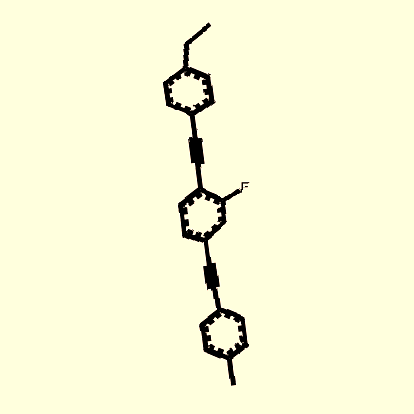 CCc1ccc(C#Cc2ccc(C#Cc3ccc(C)cc3)cc2F)cc1